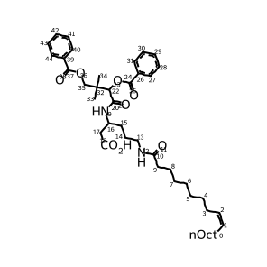 CCCCCCCC/C=C\CCCCCCCC(=O)NCCCC(CC(=O)O)NC(=O)C(OC(=O)c1ccccc1)C(C)(C)COC(=O)c1ccccc1